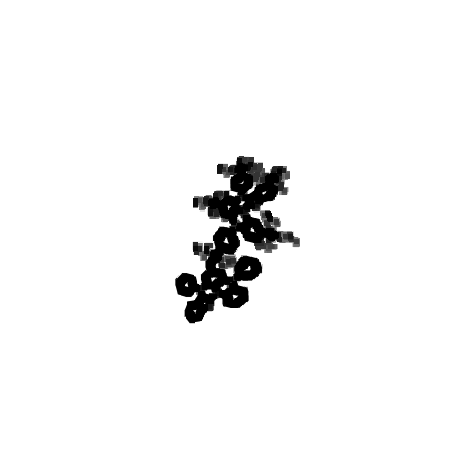 CC(C)(C)c1ccc(N2c3cc(C(C)(C)C)cc4c3B(c3cc(C(C)(C)C)ccc3N4c3ccc(C(C)(C)Cc4cc5c6c(c4)N(c4ccccc4)c4c(sc7ccccc47)B6c4ccccc4N5c4ccccc4)cc3)c3sc4ccc(C(C)(C)C)cc4c32)cc1